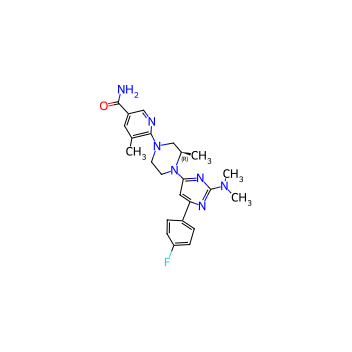 Cc1cc(C(N)=O)cnc1N1CCN(c2cc(-c3ccc(F)cc3)nc(N(C)C)n2)[C@H](C)C1